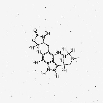 [2H]c1c(C[C@@H]2N([2H])C(=O)OC2([2H])[2H])c([2H])c2c(C([2H])([2H])CN(C)C([2H])([2H])[2H])c([2H])n([2H])c2c1[2H]